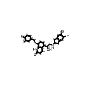 CCc1cc2c(cc1CC)CC(NC[C@@H](O)c1ccc(OCc3ccc(F)c(F)c3)c3[nH]c(=O)ccc13)C2